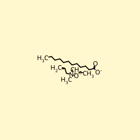 C=CC[N+](C)(C)OCC.CCCCCCCCCCCC(=O)[O-]